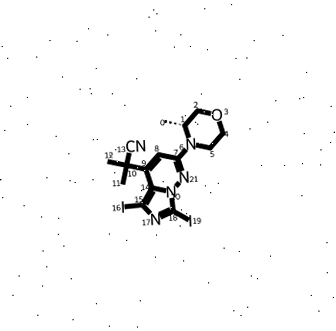 C[C@@H]1COCCN1c1cc(C(C)(C)C#N)c2c(I)nc(I)n2n1